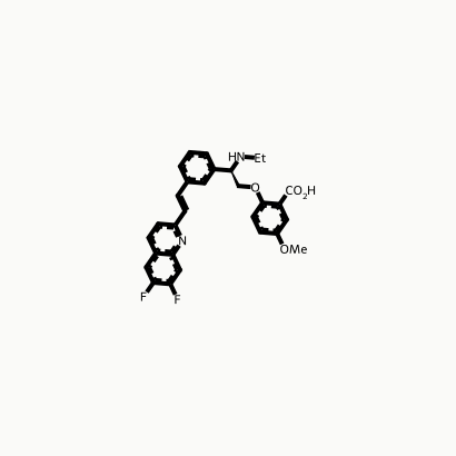 CCN[C@@H](COc1ccc(OC)cc1C(=O)O)c1cccc(/C=C/c2ccc3cc(F)c(F)cc3n2)c1